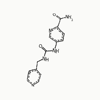 NC(=O)c1ccc(NC(=O)NCc2ccncc2)cn1